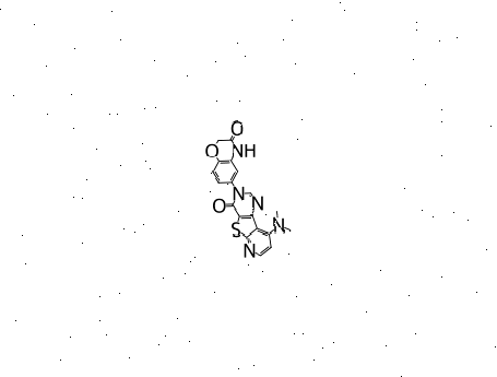 CN(C)c1ccnc2sc3c(=O)n(-c4ccc5c(c4)NC(=O)CO5)cnc3c12